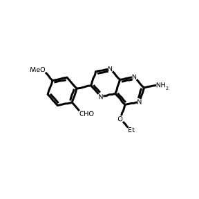 CCOc1nc(N)nc2ncc(-c3cc(OC)ccc3C=O)nc12